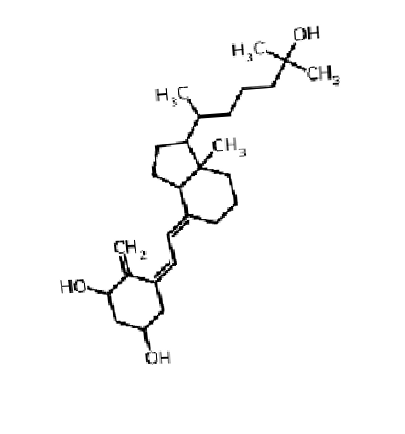 C=C1/C(=C\C=C2/CCCC3(C)C2CCC3C(C)CCCC(C)(C)O)CC(O)CC1O